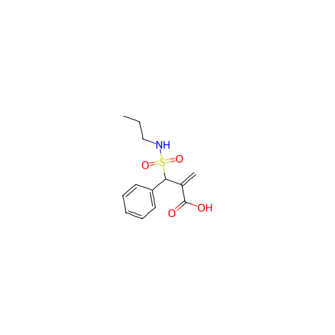 C=C(C(=O)O)C(c1ccccc1)S(=O)(=O)NCCC